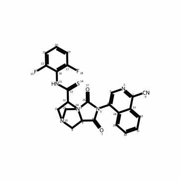 N#Cc1ncc(N2C(=O)C3CN4CC(C(=S)Nc5c(F)cccc5F)[N+]3(C4)C2=O)c2ccccc12